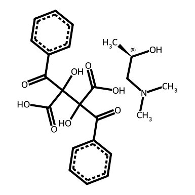 C[C@@H](O)CN(C)C.O=C(O)C(O)(C(=O)c1ccccc1)C(O)(C(=O)O)C(=O)c1ccccc1